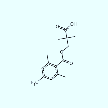 Cc1cc(C(F)(F)F)cc(C)c1C(=O)OCC(C)(C)[N+](=O)O